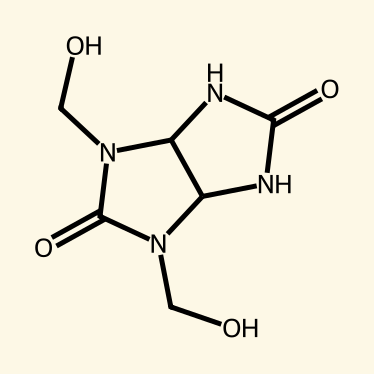 O=C1NC2C(N1)N(CO)C(=O)N2CO